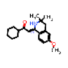 COc1ccc2c(c1)CC(C)(C)N/C2=C\C(=O)C1CCCCC1